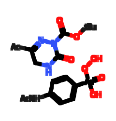 CC(=O)C1=NN(C(=O)OC(C)(C)C)C(=O)NC1.CC(=O)Nc1ccc([As](=O)(O)OO)cc1